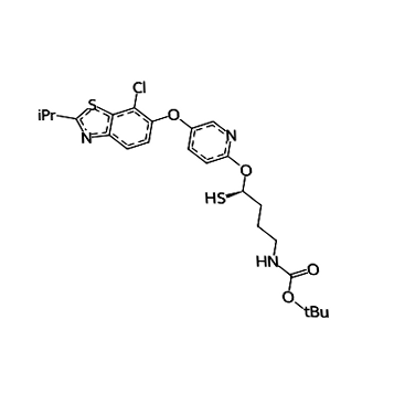 CC(C)c1nc2ccc(Oc3ccc(O[C@H](S)CCCNC(=O)OC(C)(C)C)nc3)c(Cl)c2s1